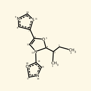 CCC(C)C1OC(c2cncs2)=[C]N1c1cnco1